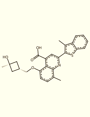 Cc1c(-c2cc(C(=O)O)c3c(OC[C@H]4C[C@](C)(O)C4)ccc(C)c3n2)sc2ccccc12